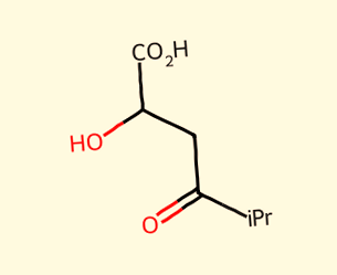 CC(C)C(=O)CC(O)C(=O)O